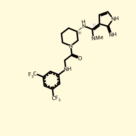 CN/C(N[C@H]1CCCN(C(=O)CNc2cc(C(F)(F)F)cc(C(F)(F)F)c2)C1)=C1/C=CNC1=N